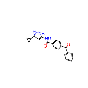 O=C(Nc1cc(C2CC2)n[nH]1)c1ccc(C(=O)c2ccccc2)cc1